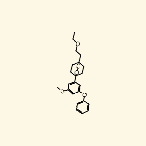 CCOCCC12CCC(c3cc(OC)cc(Oc4ccccc4)c3)(CC1)OC2